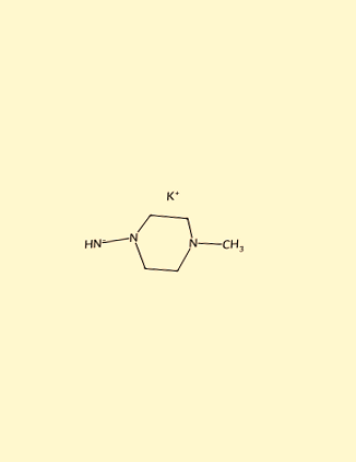 CN1CCN([NH-])CC1.[K+]